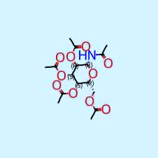 CC(=O)N[C@@H]1O[C@H](COC(C)=O)[C@H](OC(C)=O)[C@H](OC(C)=O)[C@H]1OC(C)=O